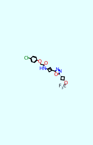 O=C(COc1ccc(Cl)cc1)NC12CC(c3nnc([C@H]4C[C@@H](OC(F)(F)F)C4)o3)(C1)C2